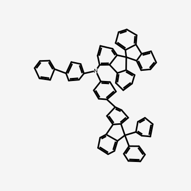 c1ccc(-c2ccc(N(c3ccc(-c4ccc5c(c4)-c4ccccc4C5(c4ccccc4)c4ccccc4)cc3)c3cccc4c3-c3ccccc3C43c4ccccc4-c4ccccc43)cc2)cc1